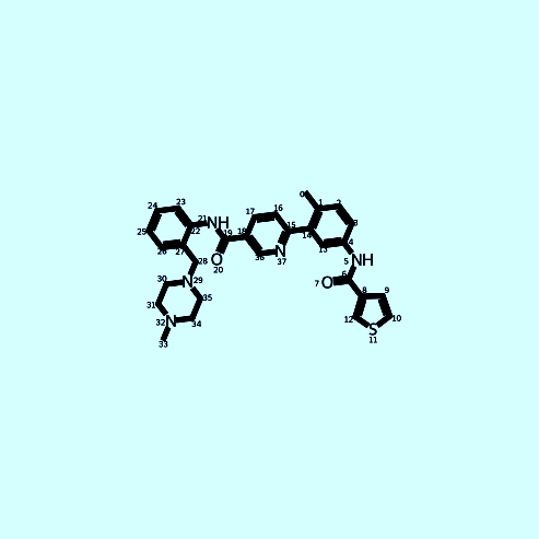 Cc1ccc(NC(=O)c2ccsc2)cc1-c1ccc(C(=O)Nc2ccccc2CN2CCN(C)CC2)cn1